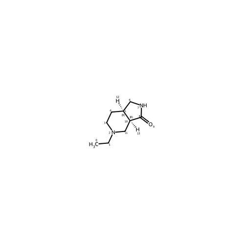 CCN1CC[C@H]2CNC(=O)[C@H]2C1